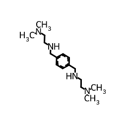 CN(C)CCNCc1ccc(CNCCN(C)C)cc1